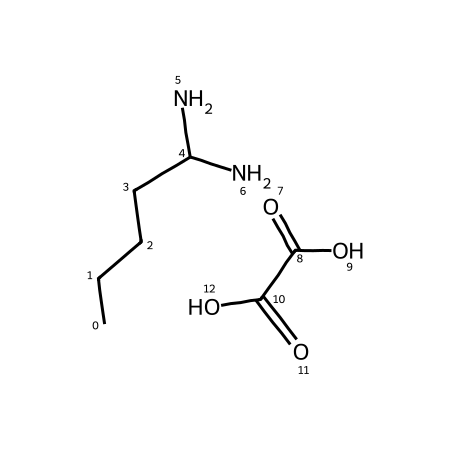 CCCCC(N)N.O=C(O)C(=O)O